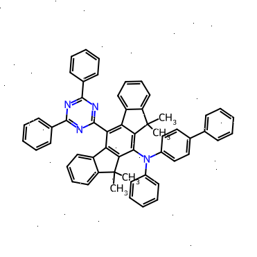 CC1(C)c2ccccc2-c2c(-c3nc(-c4ccccc4)nc(-c4ccccc4)n3)c3c(c(N(c4ccccc4)c4ccc(-c5ccccc5)cc4)c21)C(C)(C)c1ccccc1-3